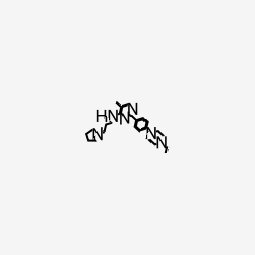 CCN1CCN(c2ccc(-c3ncc(C)c(NCCCN4CCCC4)n3)cc2)CC1